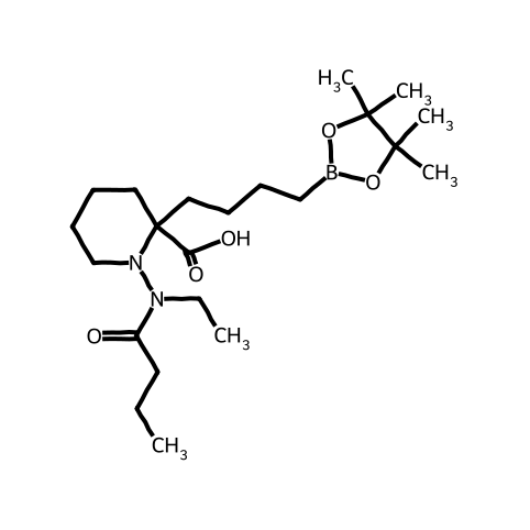 CCCC(=O)N(CC)N1CCCCC1(CCCCB1OC(C)(C)C(C)(C)O1)C(=O)O